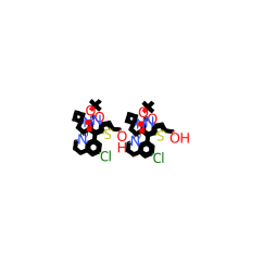 CC(C)(C)OC(=O)N1C[C@@H](N2CCCc3cc(Cl)cc(-c4ccnc5cc(CO)sc45)c32)CC12CCC2.CC(C)(C)OC(=O)N1C[C@H](N2CCCc3cc(Cl)cc(-c4ccnc5cc(CO)sc45)c32)CC12CCC2